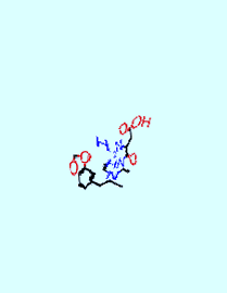 CCN(C(C)Cc1ccc2c(c1)OCO2)C(C)NC(=O)C(N)CC(=O)O